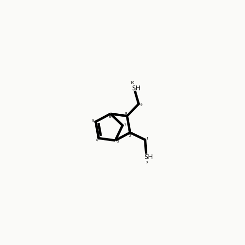 SCC1C2C=CC(C2)C1CS